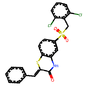 O=C1Nc2cc(S(=O)(=O)Cc3c(Cl)cccc3Cl)ccc2SC1=Cc1ccccc1